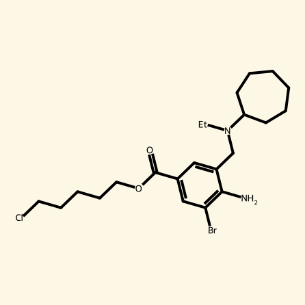 CCN(Cc1cc(C(=O)OCCCCCCl)cc(Br)c1N)C1CCCCCC1